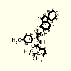 CC(C)n1nccc1C(=O)NC(C(=O)Nc1ccc2c(c1)C=CC21CCOCC1)[C@H]1CC[C@H](C)CC1